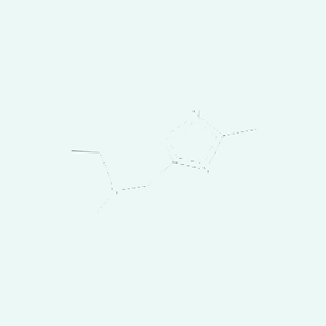 CCN(C)Cc1nc(C)no1